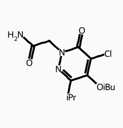 CC(C)COc1c(C(C)C)nn(CC(N)=O)c(=O)c1Cl